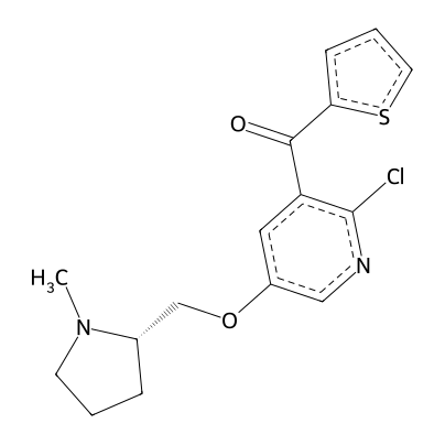 CN1CCC[C@H]1COc1cnc(Cl)c(C(=O)c2cccs2)c1